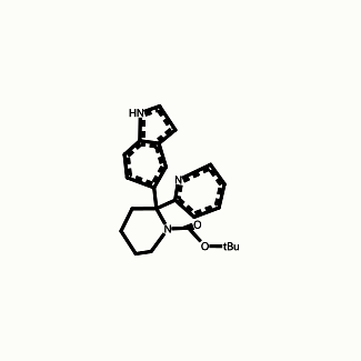 CC(C)(C)OC(=O)N1CCCCC1(c1ccc2[nH]ccc2c1)c1ccccn1